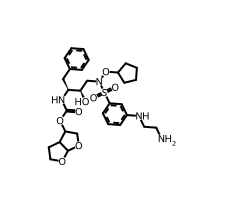 NCCNc1cccc(S(=O)(=O)N(C[C@@H](O)[C@H](Cc2ccccc2)NC(=O)OC2COC3OCCC23)OC2CCCC2)c1